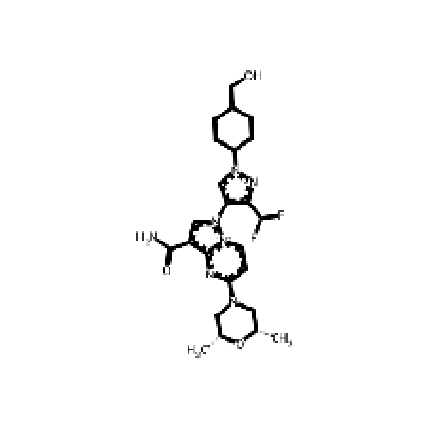 C[C@@H]1CN(c2cc[n+]3c(n2)c(C(N)=O)cn3-c2cn(C3CCC(CO)CC3)nc2C(F)F)C[C@H](C)O1